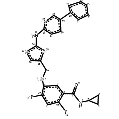 O=C(NC1CC1)c1cc(NCc2cnc(Nc3ccc(-c4ccccc4)cn3)s2)c(F)cc1F